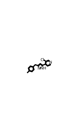 Cc1ccc(Cc2cc(-c3ccncc3Cl)[nH]n2)cc1